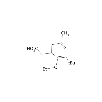 CCOc1c(CC(=O)O)cc(C)cc1C(C)(C)C